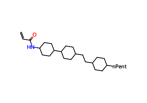 C=CC(=O)NC1CCC(C2CCC(CCC3CCC(CCCCC)CC3)CC2)CC1